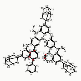 CSN1c2cc3c(cc2B2c4cc5c(cc4Oc4cc(C67CC8CC(CC(C8)C6)C7)cc1c42)N(SC)c1cc(C24CC6CC(CC(C6)C2)C4)cc2c1B5c1ccccc1O2)B1c2ccccc2N(c2ccccc2)c2cc(C45CC6CC(CC(C6)C4)C5)cc(c21)N3